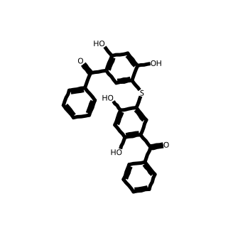 O=C(c1ccccc1)c1cc(Sc2cc(C(=O)c3ccccc3)c(O)cc2O)c(O)cc1O